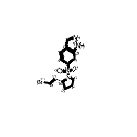 O=S(=O)(c1ccc2cn[nH]c2c1)N1CCC[C@@H]1CCBr